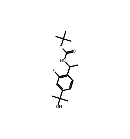 CC(NC(=O)OC(C)(C)C)c1ccc(C(C)(C)O)cc1F